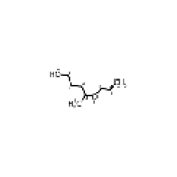 C=CCOC(C)CCCO